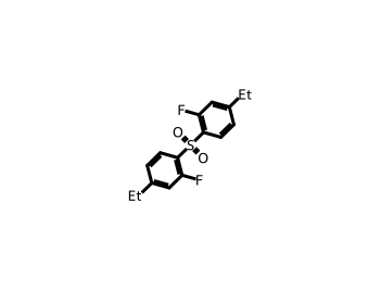 CCc1ccc(S(=O)(=O)c2ccc(CC)cc2F)c(F)c1